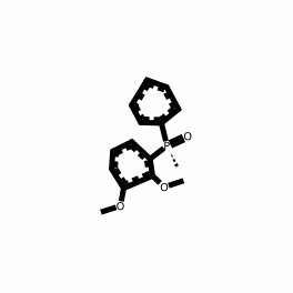 COc1cccc([P@](C)(=O)c2ccccc2)c1OC